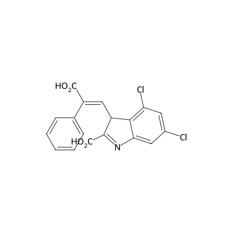 O=C(O)C1=Nc2cc(Cl)cc(Cl)c2C1/C=C(/C(=O)O)c1ccccc1